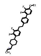 C/C=C/C1CCC(c2ccc(CCc3ccc(-c4ccc(OCC)c(F)c4F)cc3)c(F)c2F)CC1